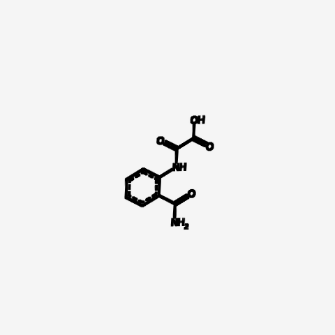 NC(=O)c1ccccc1NC(=O)C(=O)O